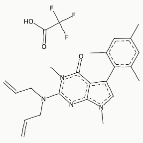 C=CCN(CC=C)c1nc2c(c(-c3c(C)cc(C)cc3C)cn2C)c(=O)n1C.O=C(O)C(F)(F)F